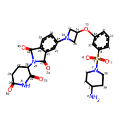 NC1CCN(S(=O)(=O)c2cccc(OC3CN(c4ccc5c(c4)C(=O)N(C4CCC(=O)NC4=O)C5=O)C3)c2)CC1